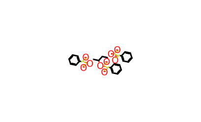 O=S(=O)(OCCC(COS(=O)(=O)c1ccccc1)OS(=O)(=O)c1ccccc1)c1ccccc1